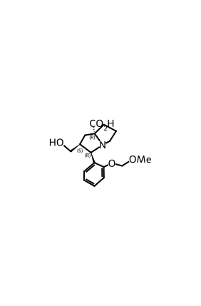 COCOc1ccccc1[C@H]1[C@@H](CO)C[C@@]2(C(=O)O)CCCN12